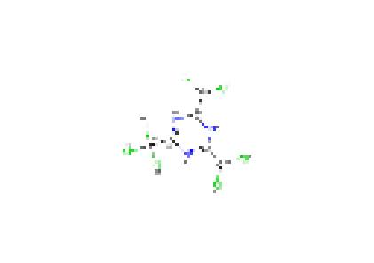 ClC(Cl)c1nc(C(Cl)Cl)nc(C(Cl)(Cl)Cl)n1